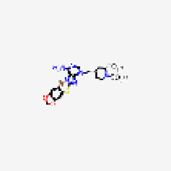 Nc1ncn(CC[C@H]2CCN(C(=O)O)[C@H](C(=O)O)C2)c2nc(Sc3cc4c(cc3Br)OCO4)nc1-2